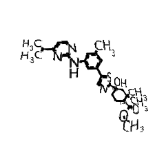 COC(=O)[C@H]1CC[C@](O)(c2ncc(-c3cc(C)cc(Nc4nccc(C(C)C)n4)c3)s2)CC1(C)C